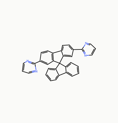 c1cnc(-c2ccc3c(c2)C2(c4ccccc4-c4ccccc42)c2cc(-c4ncccn4)ccc2-3)nc1